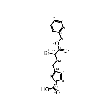 O=C(OCc1ccccc1)C(Br)CCc1ccn(C(=O)O)n1